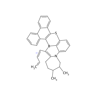 C=C/C=C\C1=C2CCC(C)C(C)CN2c2cccc3c2B1c1c(c2ccccc2c2ccccc12)S3